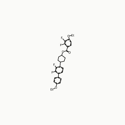 CCOc1ccc(-c2ccc(C3CCC(OC(=O)c4ccc(OCC)c(F)c4F)CC3)c(F)c2F)cc1